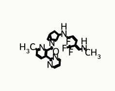 CN/C=C(\C=C/CNC1CC2CC1N(C(=O)c1nc(C)ccc1-c1ncccn1)C2)C(F)(F)F